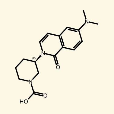 CN(C)c1ccc2c(=O)n([C@@H]3CCCN(C(=O)O)C3)ccc2c1